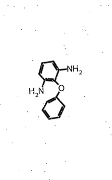 Nc1cccc(N)c1Oc1ccccc1